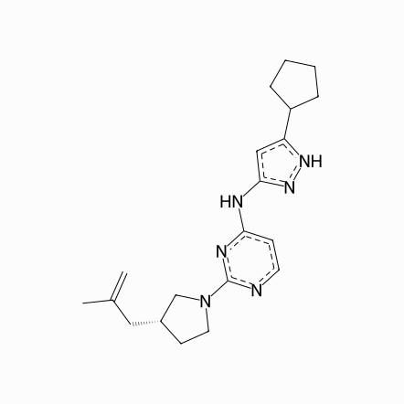 C=C(C)C[C@H]1CCN(c2nccc(Nc3cc(C4CCCC4)[nH]n3)n2)C1